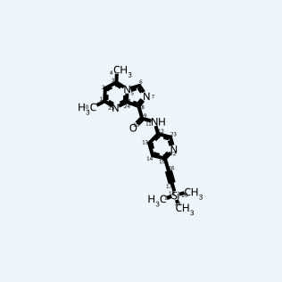 Cc1cc(C)n2cnc(C(=O)Nc3ccc(C#C[Si](C)(C)C)nc3)c2n1